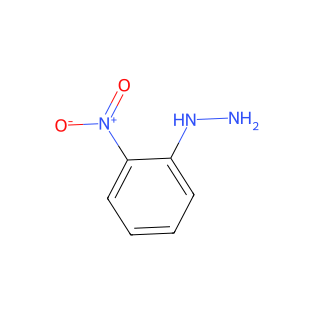 NNc1ccccc1[N+](=O)[O-]